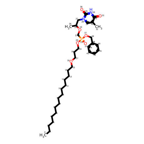 CCCCCCCCCCCCCCCCOCCCOP(=O)(COC(C)Cn1cc(C)c(=O)[nH]c1=O)OCc1ccccc1